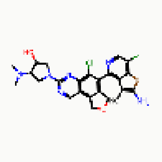 CN(C)[C@@H]1CN(c2ncc3c4c(c(-c5ncc(F)c6sc(N)c(C#N)c56)c(Cl)c3n2)COC4)C[C@@H]1O